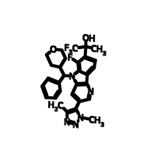 Cc1nnn(C)c1-c1cnc2c3ccc(C(C)(O)C(F)(F)F)c(F)c3n(C(c3ccccc3)C3CCOCC3)c2c1